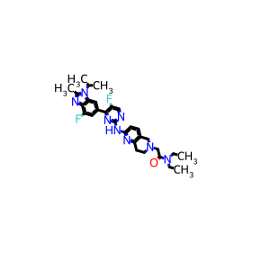 CCN(CC)C(=O)CN1CCc2nc(Nc3ncc(F)c(-c4cc(F)c5nc(C)n(C(C)C)c5c4)n3)ccc2C1